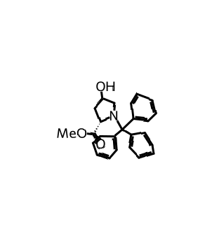 COC(=O)[C@@H]1CC(O)CN1C(c1ccccc1)(c1ccccc1)c1ccccc1